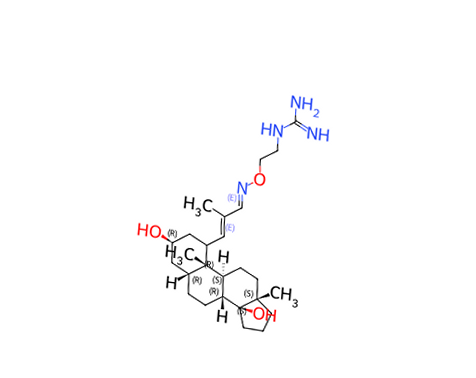 CC(/C=N/OCCNC(=N)N)=C\C1C[C@H](O)C[C@H]2CC[C@@H]3[C@H](CC[C@]4(C)CCC[C@]34O)[C@@]12C